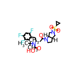 CC(C)(C)N(C(=O)O)[C@@H](CC(=O)N1CC[C@H]2CN(S(=O)(=O)C3CC3)C[C@H]21)Cc1cc(F)c(F)cc1F